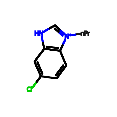 CCC[n+]1c[nH]c2cc(Cl)ccc21